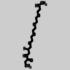 CCC(=O)NCC(F)COCCOCCOCCOCCNC